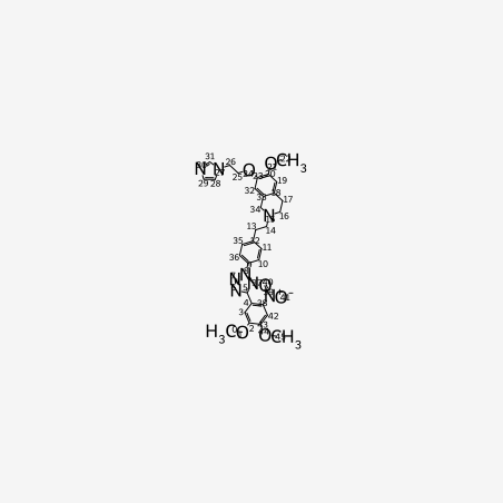 COc1cc(-c2nnn(-c3ccc(CCN4CCc5cc(OC)c(OCCn6ccnc6)cc5C4)cc3)n2)c([N+](=O)[O-])cc1OC